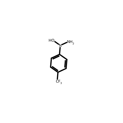 NN(O)c1ccc(C(F)(F)F)cc1